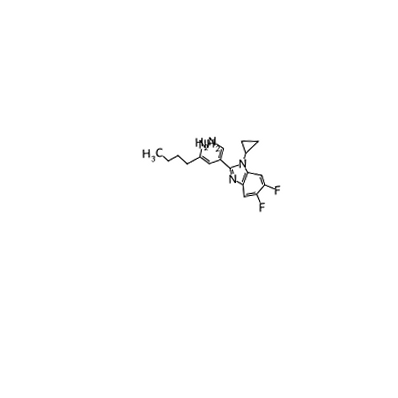 CCCC/C(N)=C/C(=C\N)c1nc2cc(F)c(F)cc2n1C1CC1